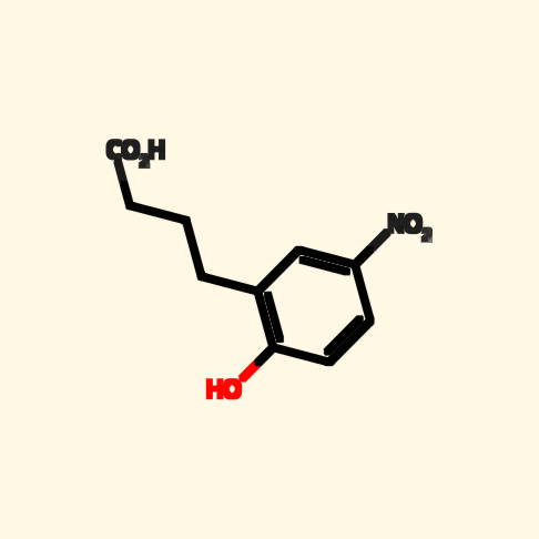 O=C(O)CCCc1cc([N+](=O)[O-])ccc1O